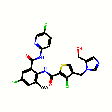 COc1cc(Cl)cc(C(=O)Nc2ccc(Cl)cn2)c1NC(=O)c1scc(Cn2cncc2CO)c1Cl